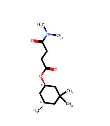 C[C@@H]1C[C@@H](OC(=O)CCC(=O)N(C)C)CC(C)(C)C1